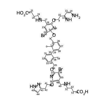 Cc1c(COc2nc(OCCC(=N)/C=C\N)c(CNCCCC(=O)O)cc2Br)cccc1-c1cccc(COc2nc(OCCc3cc[nH]n3)c(CNCCCC(=O)O)cc2Br)c1C